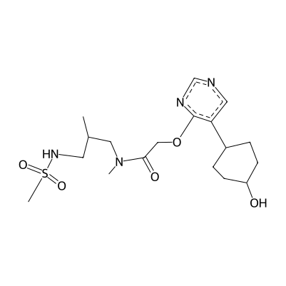 CC(CNS(C)(=O)=O)CN(C)C(=O)COc1ncncc1C1CCC(O)CC1